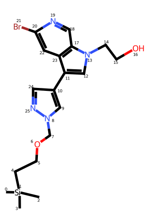 C[Si](C)(C)CCOCn1cc(-c2cn(CCO)c3cnc(Br)cc23)cn1